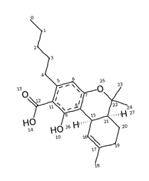 CCCCCc1cc2c(c(O)c1C(=O)O)[C@@H]1C=C(C)CC[C@@H]1C(C)(C)O2